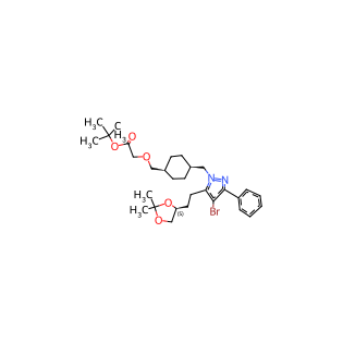 CC(C)(C)OC(=O)COC[C@H]1CC[C@@H](Cn2nc(-c3ccccc3)c(Br)c2CC[C@H]2COC(C)(C)O2)CC1